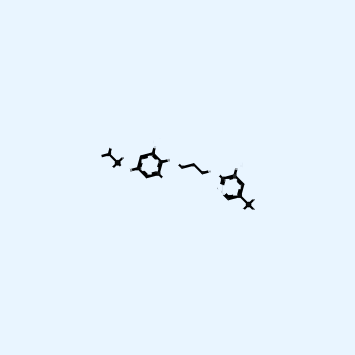 FC(F)C(F)(F)Oc1cc(Cl)c(OCCCOc2ncc(C(F)(F)F)cc2Br)c(Cl)c1